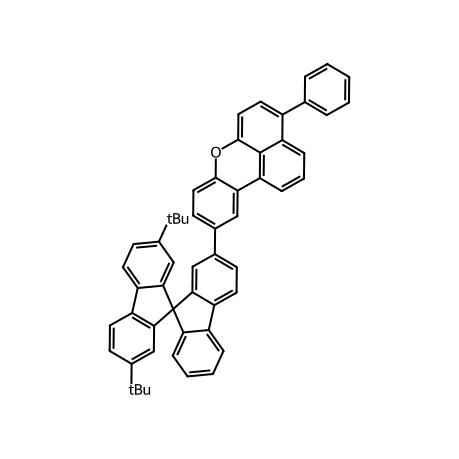 CC(C)(C)c1ccc2c(c1)C1(c3ccccc3-c3ccc(-c4ccc5c(c4)-c4cccc6c(-c7ccccc7)ccc(c46)O5)cc31)c1cc(C(C)(C)C)ccc1-2